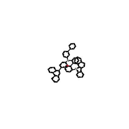 c1ccc(-c2cccc(N(c3ccc(-c4cc5ccccc5c5ccccc45)cc3)c3ccccc3-c3ccccc3-n3c4ccccc4c4ccc5ccccc5c43)c2)cc1